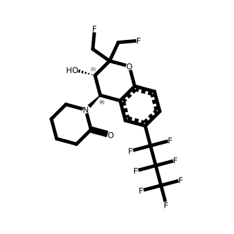 O=C1CCCCN1[C@@H]1c2cc(C(F)(F)C(F)(F)C(F)(F)F)ccc2OC(CF)(CF)[C@H]1O